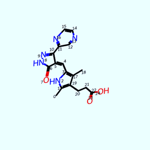 Cc1[nH]c(C=C2C(=O)NN=C2c2cnccn2)c(C)c1CCC(=O)O